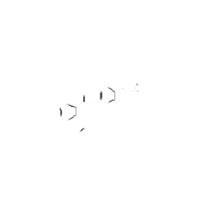 CC(=O)Oc1ccccc1C(=O)Oc1ccc(CO[N+](=O)[O-])cc1